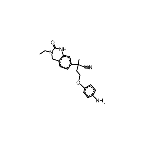 CCN1Cc2ccc(C(C)(C#N)CCOc3ccc(N)cc3)cc2NC1=O